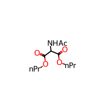 CCCOC(=O)C(NC(C)=O)C(=O)OCCC